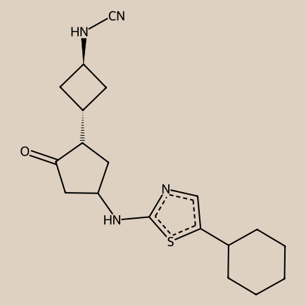 N#CN[C@H]1C[C@H](C2CC(Nc3ncc(C4CCCCC4)s3)CC2=O)C1